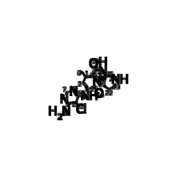 Cc1cc(Nc2ncnc(N)c2Cl)c(=O)n2c1C(=O)N[C@]21CCCNC1